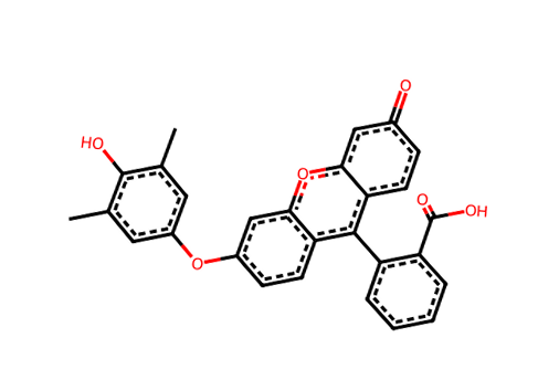 Cc1cc(Oc2ccc3c(-c4ccccc4C(=O)O)c4ccc(=O)cc-4oc3c2)cc(C)c1O